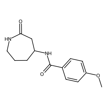 COc1ccc(C(=O)NC2CCCNC(=O)C2)cc1